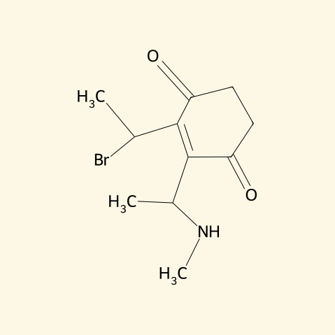 CNC(C)C1=C(C(C)Br)C(=O)CCC1=O